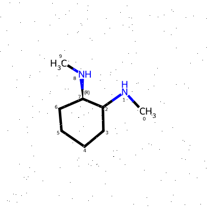 CN[C]1CCCC[C@H]1NC